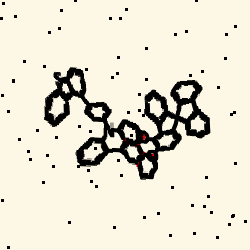 c1ccc(-c2cccc(N(c3ccc(-c4cccc5sc6ccccc6c45)cc3)c3ccccc3-c3ccc4c(c3)Oc3c(ccc5c3-c3ccccc3C53c5ccccc5-c5ccccc53)O4)c2)cc1